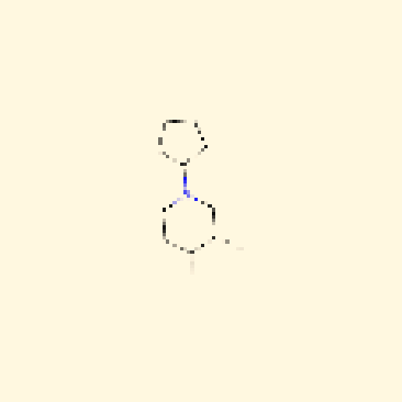 C[C@@H]1CCN(C2CCCC2)C[C@@H]1C